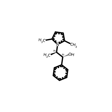 Cc1ccc(C)n1[C@H](C)[C@H](O)c1ccccc1